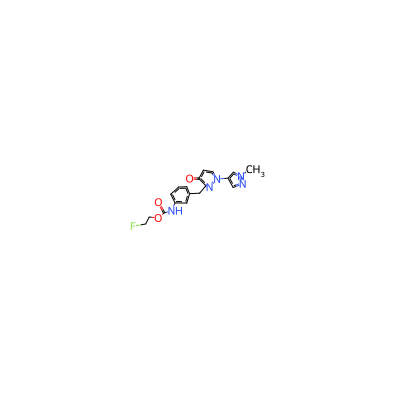 Cn1cc(-n2ccc(=O)c(Cc3cccc(NC(=O)OCCF)c3)n2)cn1